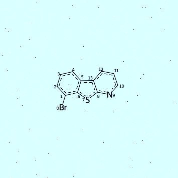 Brc1cccc2c1sc1ncccc12